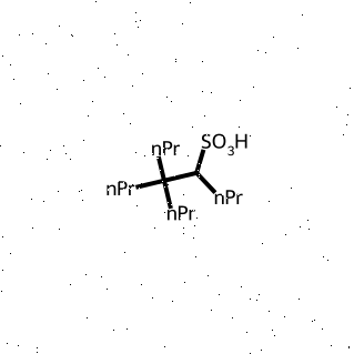 CCCC(C(CCC)(CCC)CCC)S(=O)(=O)O